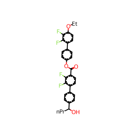 CCCC(O)c1ccc(-c2ccc(C(=O)Oc3ccc(-c4ccc(OCC)c(F)c4F)cc3)c(F)c2F)cc1